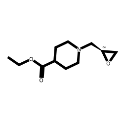 CCOC(=O)C1CCN(C[C@H]2CO2)CC1